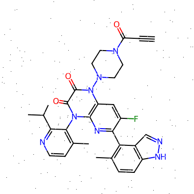 C#CC(=O)N1CCN(n2c(=O)c(=O)n(-c3c(C)ccnc3C(C)C)c3nc(-c4c(C)ccc5[nH]ncc45)c(F)cc32)CC1